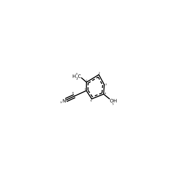 Cc1ccc(O)cc1C#N